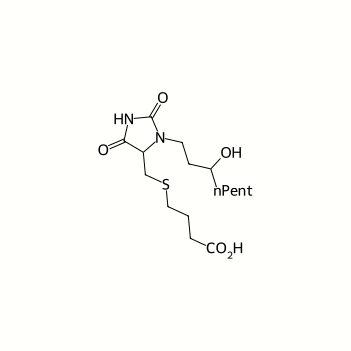 CCCCCC(O)CCN1C(=O)NC(=O)C1CSCCCC(=O)O